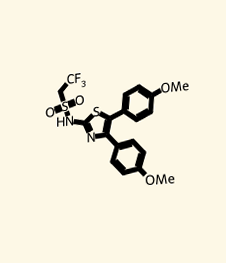 COc1ccc(-c2nc(NS(=O)(=O)CC(F)(F)F)sc2-c2ccc(OC)cc2)cc1